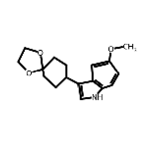 COc1ccc2[nH]cc(C3CCC4(CC3)OCCO4)c2c1